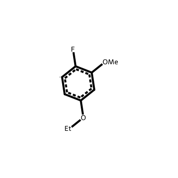 CCOc1c[c]c(F)c(OC)c1